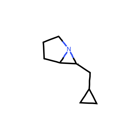 C1CC2[C](CC3CC3)N2C1